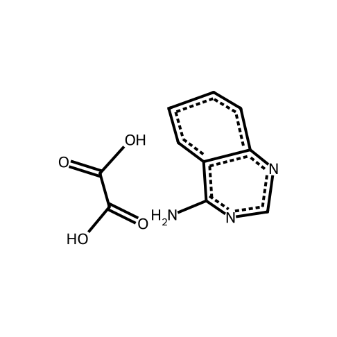 Nc1ncnc2ccccc12.O=C(O)C(=O)O